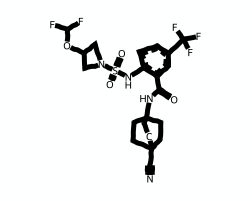 N#CC12CCC(NC(=O)c3cc(C(F)(F)F)ccc3NS(=O)(=O)N3CC(OC(F)F)C3)(CC1)CC2